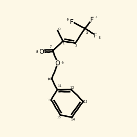 CC(=CC(F)(F)F)C(=O)OCc1ccccc1